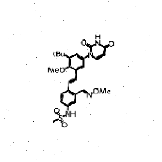 CO/N=C/c1cc(NS(C)(=O)=O)ccc1C=Cc1cc(-n2ccc(=O)[nH]c2=O)cc(C(C)(C)C)c1OC